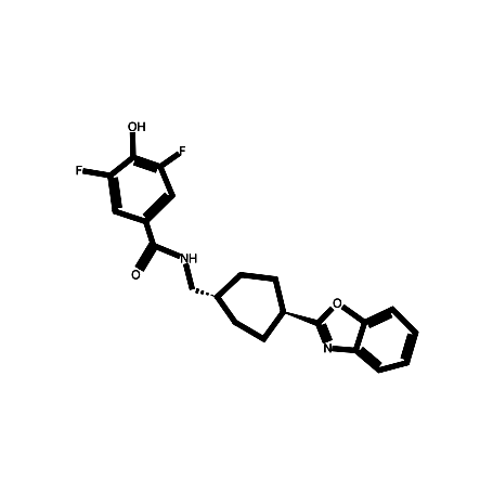 O=C(NC[C@H]1CC[C@H](c2nc3ccccc3o2)CC1)c1cc(F)c(O)c(F)c1